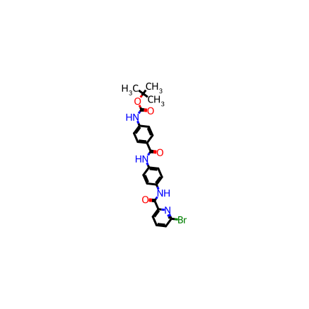 CC(C)(C)OC(=O)Nc1ccc(C(=O)Nc2ccc(NC(=O)c3cccc(Br)n3)cc2)cc1